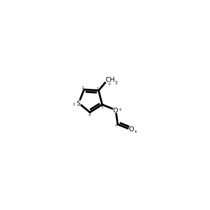 Cc1cscc1OC=O